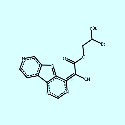 CCCCC(CC)COC(=O)/C(C#N)=c1/ncnc2c1=Nc1cnccc1-2